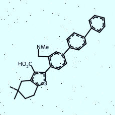 CNCc1cc(-c2ccc(-c3ccccc3)cc2)ccc1-c1sc2c(c1C(=O)O)CC(C)(C)CC2